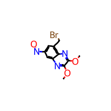 COc1nc2cc(N=O)cc(CBr)c2nc1OC